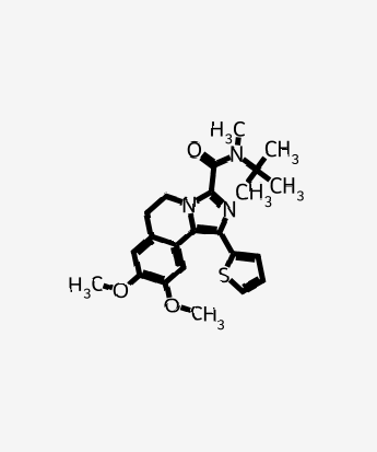 COc1cc2c(cc1OC)-c1c(-c3cccs3)nc(C(=O)N(C)C(C)(C)C)n1CC2